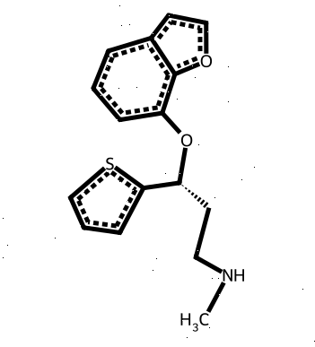 CNCC[C@@H](Oc1cccc2ccoc12)c1cccs1